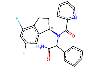 NC(=O)C(c1ccccc1)N(C(=O)c1ccccn1)[C@@H]1CCc2c(F)cc(F)cc21